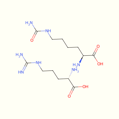 N=C(N)NCCC[C@H](N)C(=O)O.NC(=O)NCCCC[C@H](N)C(=O)O